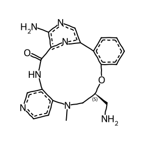 CN1C[C@H](CN)Oc2ccccc2-c2cnc(N)c(n2)C(=O)Nc2cnccc21